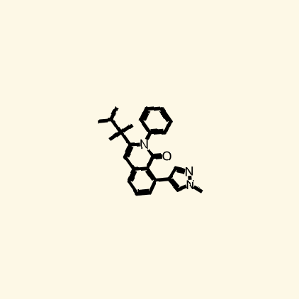 CC(C)C(C)(C)c1cc2cccc(-c3cnn(C)c3)c2c(=O)n1-c1ccccc1